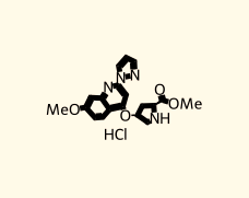 COC(=O)[C@@H]1C[C@@H](Oc2cc(-n3cccn3)nc3cc(OC)ccc23)CN1.Cl